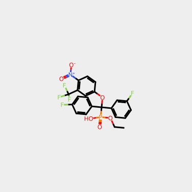 CCOP(=O)(O)C(Oc1ccc([N+](=O)[O-])c(C(F)(F)F)c1)(c1ccc(F)cc1)c1cccc(F)c1